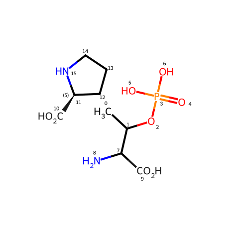 CC(OP(=O)(O)O)C(N)C(=O)O.O=C(O)[C@@H]1CCCN1